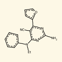 CCN(c1ccccc1)c1nc(N)nc(-c2ccco2)c1C#N